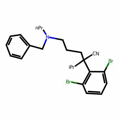 CCCN(CCCC(C#N)(c1c(Br)cccc1Br)C(C)C)Cc1ccccc1